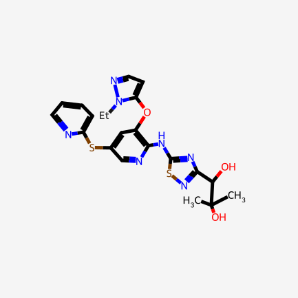 CCn1nccc1Oc1cc(Sc2ccccn2)cnc1Nc1nc(C(O)C(C)(C)O)ns1